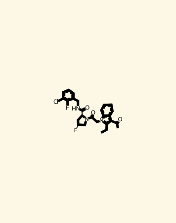 CCc1c(C(C)=O)c2cc[c]cc2n1CC(=O)N1C[C@H](F)C[C@H]1C(=O)NCc1cccc(Cl)c1F